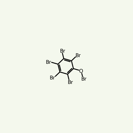 BrOc1c(Br)c(Br)c(Br)c(Br)c1Br